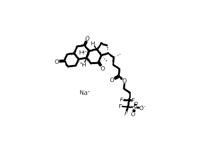 C[C@H](CCC(=O)OCCC(F)(F)C(F)(F)S(=O)(=O)[O-])[C@H]1CC[C@H]2[C@@H]3C(=O)CC4CC(=O)CC[C@]4(C)[C@H]3CC(=O)[C@]12C.[Na+]